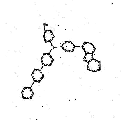 CC(C)(C)c1ccc(N(c2ccc(-c3ccc(-c4ccccc4)cc3)cc2)c2ccc(-c3cccc4c3oc3ccccc34)cc2)cc1